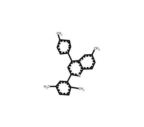 Cc1ccc(-c2cc(-c3cc(C)ccc3C)nc3ccc(C)cc23)cc1